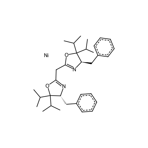 CC(C)C1(C(C)C)OC(CC2=N[C@H](Cc3ccccc3)C(C(C)C)(C(C)C)O2)=N[C@@H]1Cc1ccccc1.[Ni]